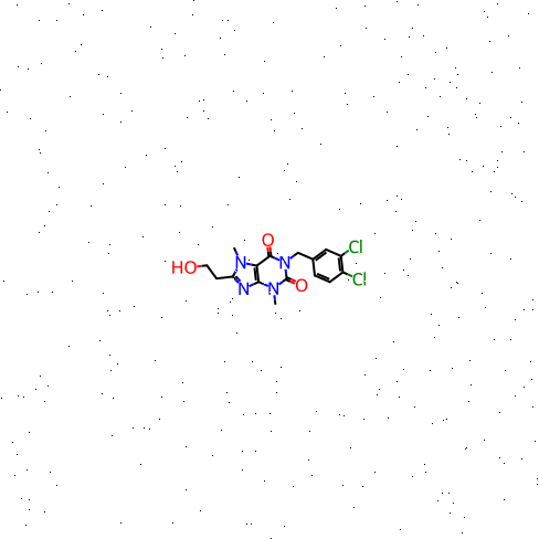 Cn1c(CCO)nc2c1c(=O)n(Cc1ccc(Cl)c(Cl)c1)c(=O)n2C